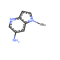 CC(C)(C)n1ccc2ncc(N)cc21